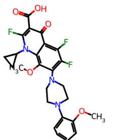 COc1ccccc1N1CCN(c2c(F)c(F)c3c(=O)c(C(=O)O)c(F)n(C4CC4)c3c2OC)CC1